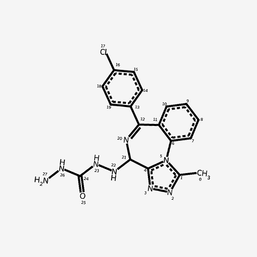 Cc1nnc2n1-c1ccccc1C(c1ccc(Cl)cc1)=NC2NNC(=O)NN